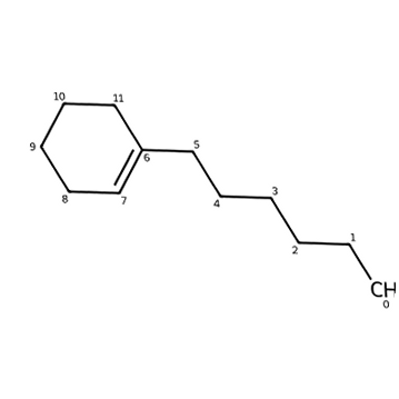 CCCCCCC1=CCCCC1